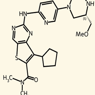 COC[C@@H]1CN(c2ccc(Nc3ncc4sc(C(=O)N(C)C)c(C5CCCC5)c4n3)nc2)CCN1